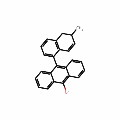 CC1C=Cc2c(cccc2-c2c3ccccc3c(Br)c3ccccc23)C1